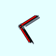 N.N.N.N.N.N.N.N.N.N.N.N.N.N.N.N.N.N.N.N.N.N.N.N.N.N.N.N.N.N.N.N.N.N.N.N.N.N.N.N.N.N.N.N.N.N.N.N.N.N.N.N.N.N.N.N.N.N.N.N.N.N.N.O=C(O)O.O=C(O)O.O=C(O)O